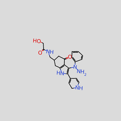 NN(c1ccccc1)c1c(C2=CCNC=C2)[nH]c2c1C(=O)CC(CNC(=O)CO)C2